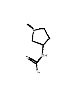 CC(C)C(=O)NC1CCN(C)C1